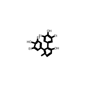 CCc1cc(-c2c(C)ccc(O)c2-c2cc(CC)c(O)c(CC)c2)cc(CC)c1O